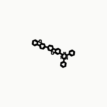 c1ccc(-c2nc(-c3ccccc3)nc(-c3ccc4c(c3)oc3cc(-c5ccc6c(c5)oc5ccccc56)ccc34)n2)cc1